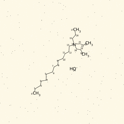 CCCCCCCCCCCCCC[N+](CCC)(CCC)CCC.[OH-]